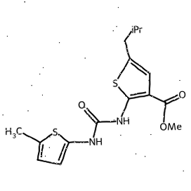 COC(=O)c1cc(CC(C)C)sc1NC(=O)Nc1ccc(C)s1